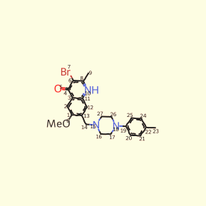 COc1cc2c(=O)c(Br)c(C)[nH]c2cc1CN1CCN(c2ccc(C)cc2)CC1